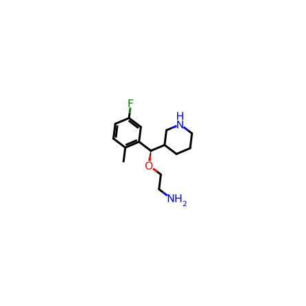 Cc1ccc(F)cc1[C@H](OCCN)C1CCCNC1